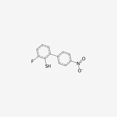 O=[N+]([O-])c1ccc(-c2cccc(F)c2S)cc1